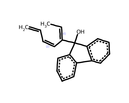 C=C/C=C\C(=C/C)C1(O)c2ccccc2-c2ccccc21